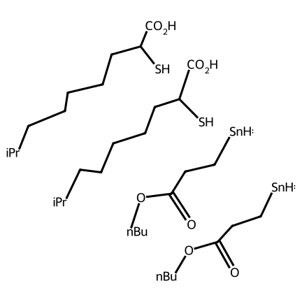 CC(C)CCCCCC(S)C(=O)O.CC(C)CCCCCC(S)C(=O)O.CCCCOC(=O)C[CH2][SnH].CCCCOC(=O)C[CH2][SnH]